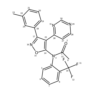 CC(=O)N(c1ccccc1C(F)(F)F)c1onc(-c2cccc(C)c2)c1-c1ccncn1